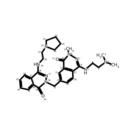 CN(C)CCNc1nn(C)c(=O)c2cc(Cn3nc(NCCN4CCCC4)c4ccccc4c3=O)ccc12